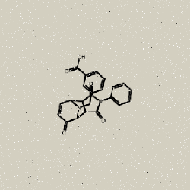 O=C(O)c1cccc(CN2C3C=CC(=O)C2C2C(=O)N(c4ccccc4)C(=O)C23)c1